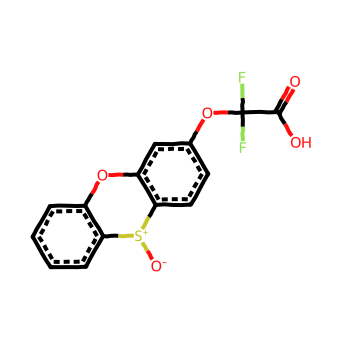 O=C(O)C(F)(F)Oc1ccc2c(c1)Oc1ccccc1[S+]2[O-]